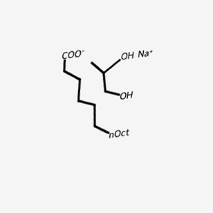 CC(O)CO.CCCCCCCCCCCCCC(=O)[O-].[Na+]